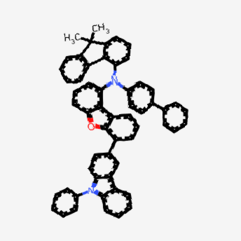 CC1(C)c2ccccc2-c2c(N(c3ccc(-c4ccccc4)cc3)c3cccc4oc5c(-c6ccc7c(c6)c6ccccc6n7-c6ccccc6)cccc5c34)cccc21